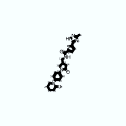 Cc1n[nH]c(-c2ccc(C(=O)NCC3CC(=O)N(c4ccc(N5CCCCC5=O)cc4)C3)s2)n1